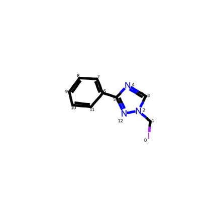 ICn1cnc(-c2ccccc2)n1